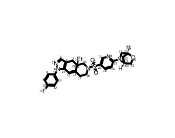 CC[C@]12Cc3cnn(-c4ccc(F)cc4)c3C=C1CCN(S(=O)(=O)c1ccc(N3C[C@@H]4C[C@H]3CO4)nc1)C2